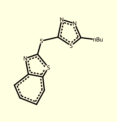 CCCCc1nnc(Sc2nc3ccccc3s2)s1